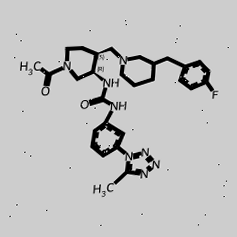 CC(=O)N1CC[C@@H](CN2CCCC(Cc3ccc(F)cc3)C2)[C@@H](NC(=O)Nc2cccc(-n3nnnc3C)c2)C1